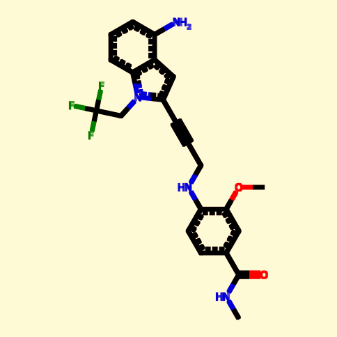 CNC(=O)c1ccc(NCC#Cc2cc3c(N)cccc3n2CC(F)(F)F)c(OC)c1